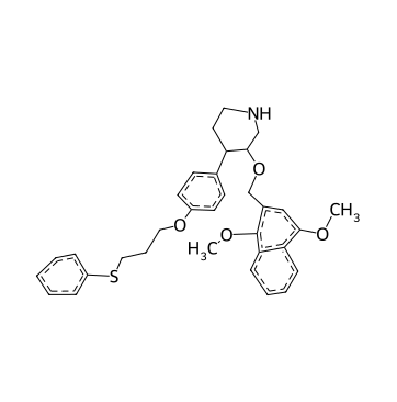 COc1cc(COC2CNCCC2c2ccc(OCCCSc3ccccc3)cc2)c(OC)c2ccccc12